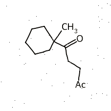 CC(=O)CCC(=O)C1(C)CCCCC1